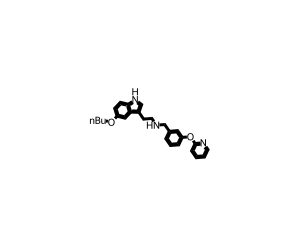 CCCCOc1ccc2[nH]cc(CCNCc3cccc(Oc4ccccn4)c3)c2c1